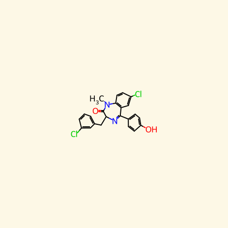 CN1C(=O)C(Cc2cccc(Cl)c2)N=C(c2ccc(O)cc2)c2cc(Cl)ccc21